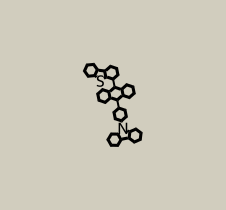 c1ccc2c(c1)sc1c(-c3c4ccccc4c(-c4ccc(-n5c6ccccc6c6ccccc65)cc4)c4ccccc34)cccc12